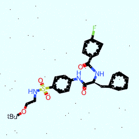 CC(C)(C)OCCNS(=O)(=O)c1ccc(NC(=O)[C@H](Cc2ccccc2)NC(=O)c2ccc(F)cc2)cc1